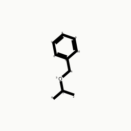 C[C](C)OCc1ccccc1